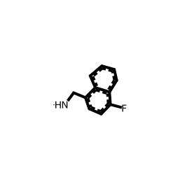 [NH]Cc1ccc(F)c2ccccc12